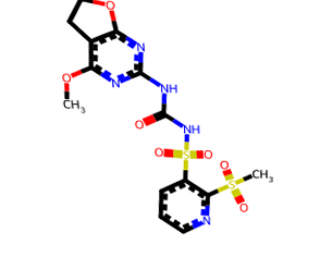 COc1nc(NC(=O)NS(=O)(=O)c2cccnc2S(C)(=O)=O)nc2c1CCO2